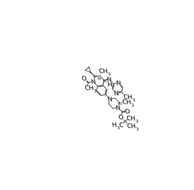 CC(=O)N1c2ccc(N3CCN(C(=O)OC(C)(C)C)[C@@H](C)C3)cc2[C@H](Nc2cnc(C)cn2)[C@@H](C)[C@@H]1C1CC1